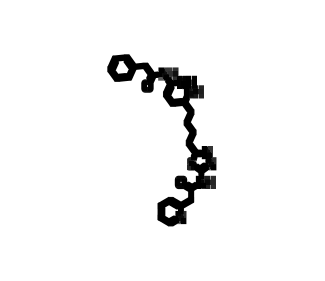 O=C(Cc1ccccc1)NC1=CC=C(CCCCc2nnc(NC(=O)Cc3ccccn3)s2)NN1